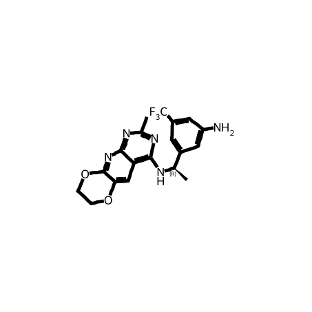 Cc1nc(N[C@H](C)c2cc(N)cc(C(F)(F)F)c2)c2cc3c(nc2n1)OCCO3